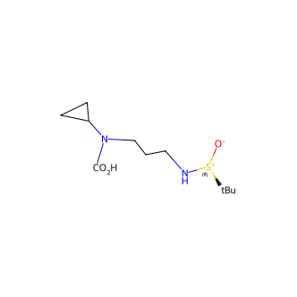 CC(C)(C)[S@+]([O-])NCCCN(C(=O)O)C1CC1